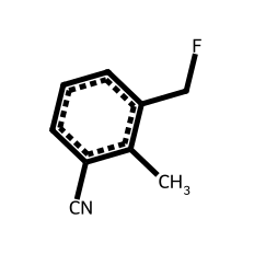 Cc1c(C#N)cccc1CF